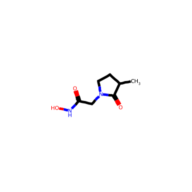 CC1CCN(CC(=O)NO)C1=O